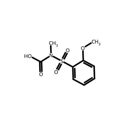 COc1ccccc1S(=O)(=O)N(C)C(=O)O